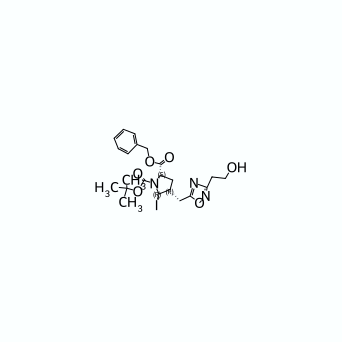 CC(C)(C)OC(=O)N1[C@H](I)[C@@H](Cc2nc(CCO)no2)C[C@H]1C(=O)OCc1ccccc1